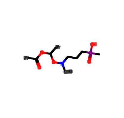 CC(C)C(=O)OC(ON(C=O)CCCP(C)(=O)O)C(C)C